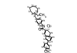 CC[N+]1(Cc2ccc(NC(=O)C3=Cc4cc(-c5ccc(C)cc5)ccc4CC3)cc2)CCCCCCC1.[Cl-]